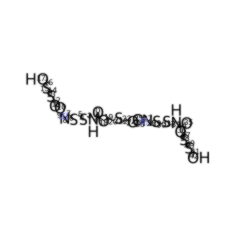 O=C(NCSCSC/N=C\OOCSCSCO)OCCSCCOO/C=N/CSCSCNC(=O)OCSCSCO